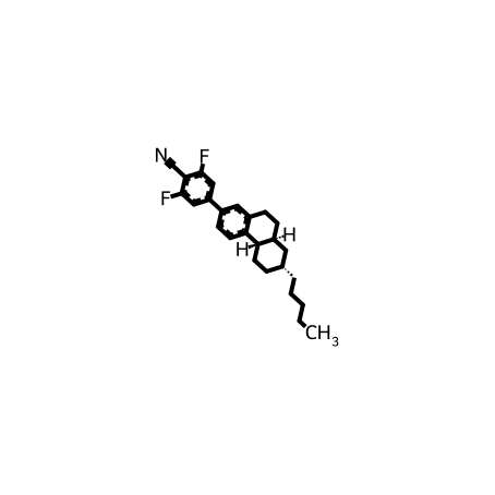 CCCCC[C@@H]1CC[C@@H]2c3ccc(-c4cc(F)c(C#N)c(F)c4)cc3CC[C@H]2C1